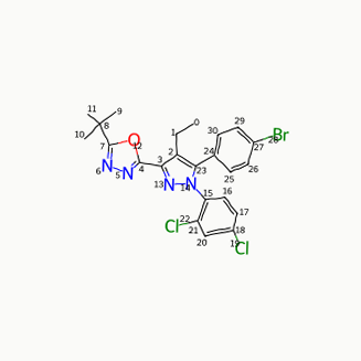 CCc1c(-c2nnc(C(C)(C)C)o2)nn(-c2ccc(Cl)cc2Cl)c1-c1ccc(Br)cc1